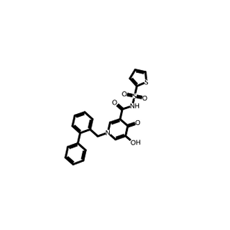 O=C(NS(=O)(=O)c1cccs1)c1cn(Cc2ccccc2-c2ccccc2)cc(O)c1=O